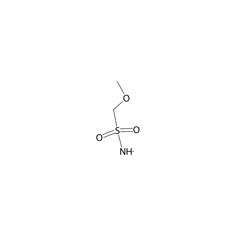 COCS([NH])(=O)=O